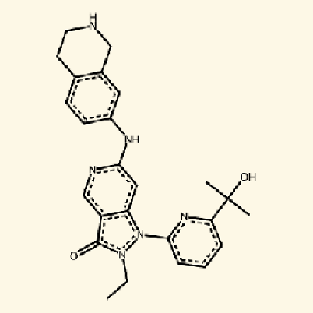 CCn1c(=O)c2cnc(Nc3ccc4c(c3)CNCC4)cc2n1-c1cccc(C(C)(C)O)n1